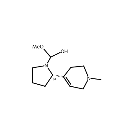 COC(O)N1CCC[C@H]1C1=CCN(C)CC1